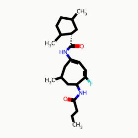 CCCC(=O)NC1CC(C)C/C(NC(=O)[C@H]2CC(C)CCC2C)=C\C=C/1F